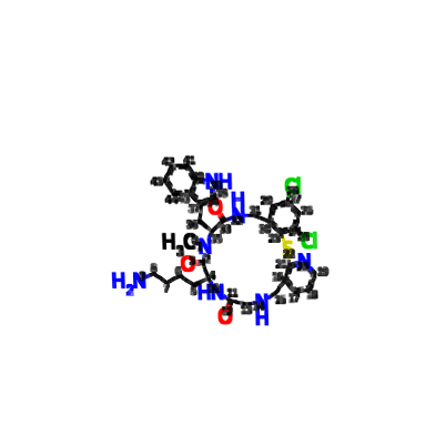 CN1C(=O)[C@H](CCCCN)NC(=O)CNCc2cccnc2Sc2c(Cl)cc(Cl)cc2CNC(=O)[C@@H]1Cc1c[nH]c2ccccc12